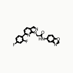 O=C(Cn1ncc2ccc(-c3ccc(F)cc3F)nc21)Nc1ccc2ocnc2c1